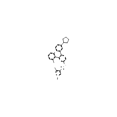 Cc1cccc(C)c1-c1nc(NS(=O)(=O)c2cn(C)nc2C)cnc1-c1cccc(C2CCCC2)c1